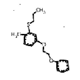 CCCSc1cc(OCCOc2ccccc2)ccc1C